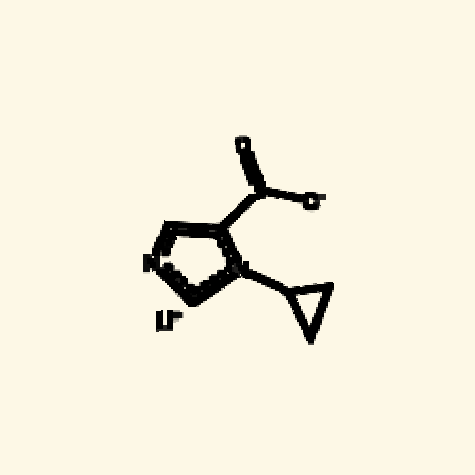 O=S([O-])c1cncn1C1CC1.[Li+]